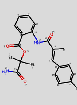 CCC(CC)(OC(=O)c1ccccc1NC(=O)C(C)=Cc1ccc(C(F)(F)F)cc1)C(N)=O